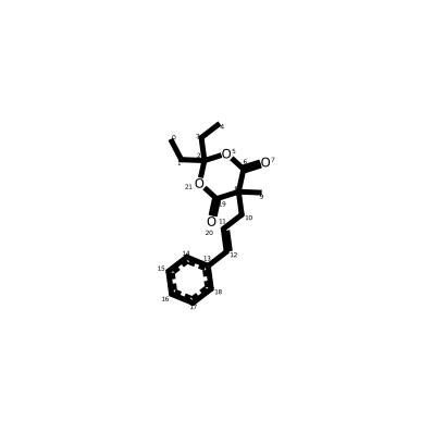 CCC1(CC)OC(=O)C(C)(CC=Cc2ccccc2)C(=O)O1